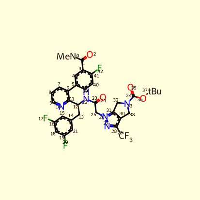 CNC(=O)c1cc(-c2cccnc2[C@H](Cc2cc(F)cc(F)c2)NC(=O)Cn2nc(C(F)(F)F)c3c2CN(C(=O)OC(C)(C)C)C3)ccc1F